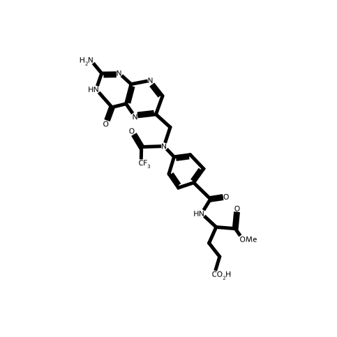 COC(=O)C(CCC(=O)O)NC(=O)c1ccc(N(Cc2cnc3nc(N)[nH]c(=O)c3n2)C(=O)C(F)(F)F)cc1